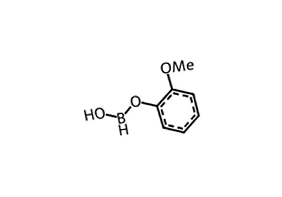 COc1ccccc1OBO